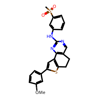 COc1cccc(-c2cc3c(s2)CCc2cnc(Nc4cccc(S(C)(=O)=O)c4)nc2-3)c1